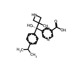 CC(C)c1ccc([C@](O)(c2cncc(C(=O)O)c2)C2(C)CNC2)cc1